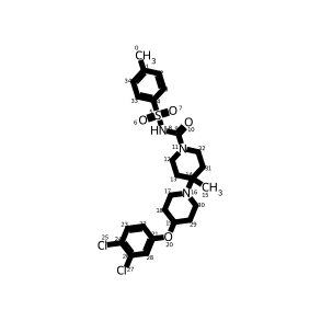 Cc1ccc(S(=O)(=O)NC(=O)N2CCC(C)(N3CCC(Oc4ccc(Cl)c(Cl)c4)CC3)CC2)cc1